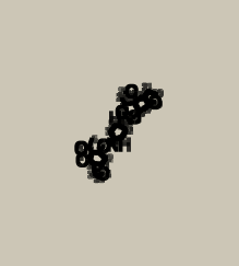 COc1c(C(C)=O)c(ONc2ccc(NOc3cc4occc4c(OC)c3C(C)=O)cc2)cc2occc12